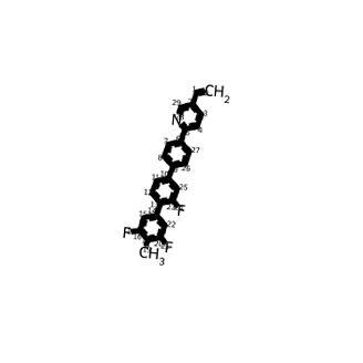 C=Cc1ccc(-c2ccc(-c3ccc(-c4cc(F)c(C)c(F)c4)c(F)c3)cc2)nc1